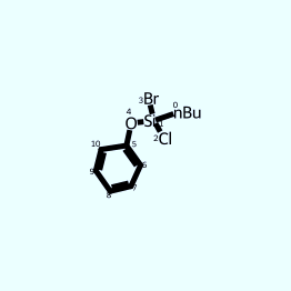 CCCC[Si](Cl)(Br)Oc1ccccc1